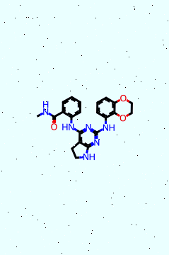 CNC(=O)c1ccccc1Nc1nc(Nc2cccc3c2OCCO3)nc2c1CCN2